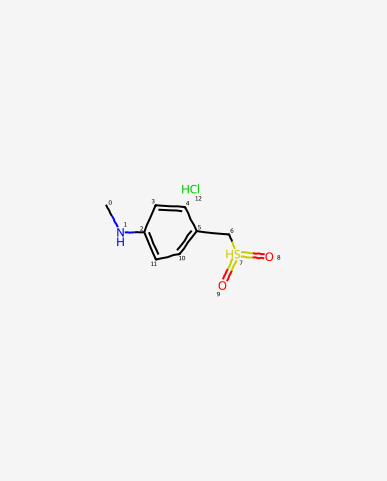 CNc1ccc(C[SH](=O)=O)cc1.Cl